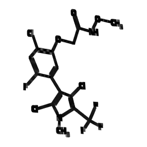 CONC(=O)COc1cc(-c2c(Cl)c(C(F)(F)F)n(C)c2Cl)c(F)cc1Cl